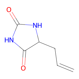 C=CCC1NC(=O)NC1=O